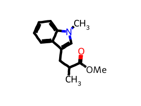 COC(=O)C(C)Cc1cn(C)c2ccccc12